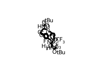 CC(C)(C)OC(=O)N[C@H]1CS(=O)(=O)c2cc(F)c(-c3noc(C(C)(NC(=O)OC(C)(C)C)C(F)(F)F)n3)cc2N(Cc2ccc(OC(F)(F)F)cc2)C1=O